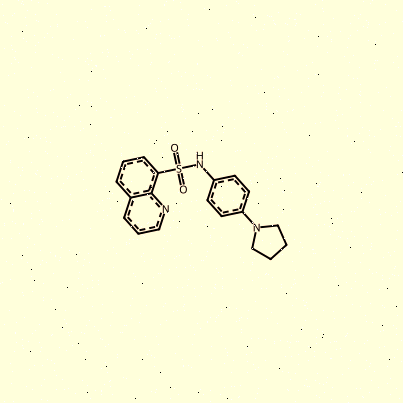 O=S(=O)(Nc1ccc(N2CCCC2)cc1)c1cccc2cccnc12